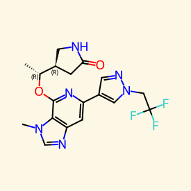 C[C@@H](Oc1nc(-c2cnn(CC(F)(F)F)c2)cc2ncn(C)c12)[C@H]1CNC(=O)C1